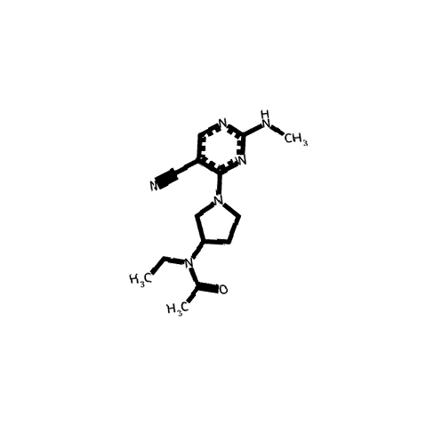 CCN(C(C)=O)C1CCN(c2nc(NC)ncc2C#N)C1